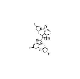 O=[C]N1C[C@@H](F)C[C@H]1Cc1c(-c2nc3cc(F)ccc3n2C[C@@H]2C[C@H](F)CN2)[nH]c2ccccc12